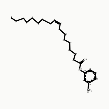 CCCCCCCC/C=C\CCCCCCCC(=O)Nc1cccc(N)c1